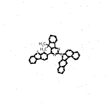 CC1(C)c2ccccc2-c2nc(-n3c4cc5ccccc5cc4c4c5ccccc5ccc43)nc(-c3ccc4c(c3)sc3ccccc34)c21